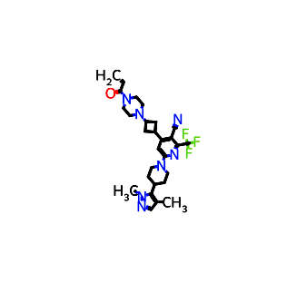 C=CC(=O)N1CCN(C2CC(c3cc(N4CCC(c5c(C)cnn5C)CC4)nc(C(F)(F)F)c3C#N)C2)CC1